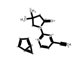 C#Cc1ccnc(N2CC(C)(C)CC2=O)n1.c1cc2cc-2c1